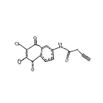 C#CCC(=O)Nc1ccc2c(c1)C(=O)C(Cl)=C(Cl)C2=O